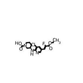 CCOC(=O)/C(F)=C/c1cnc(N[C@@H]2CCCN(C(=O)O)C2)c(Cl)c1